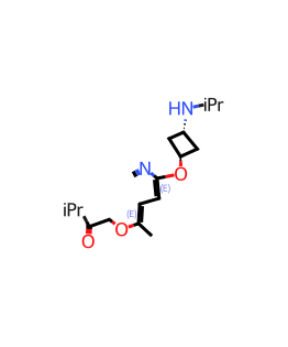 C=N/C(=C\C=C(/C)OCC(=O)C(C)C)O[C@H]1C[C@H](NC(C)C)C1